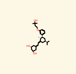 CC(C)[C@H]1C/C(=C\C=C2C[C@@H](O)C[C@H](O)C2)[C@H](C)[C@@H](c2cccc(OCCC(C)(C)O)c2)C1